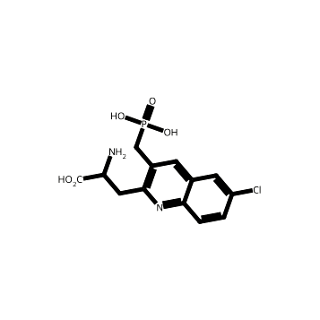 NC(Cc1nc2ccc(Cl)cc2cc1CP(=O)(O)O)C(=O)O